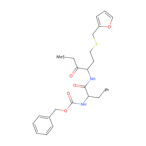 CSCC(=O)C(CCSCc1ccco1)NC(=O)C(CC(C)C)NC(=O)OCc1ccccc1